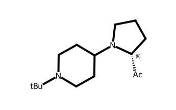 CC(=O)[C@H]1CCCN1C1CCN(C(C)(C)C)CC1